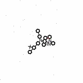 CC(C)(C)c1cc(-c2ccc(N(c3ccc(-c4ccccc4)cc3)c3c4ccccc4c(C4Nc5ccccc5N4c4ccccc4)c4ccccc34)cc2)ccc1-c1ccccc1